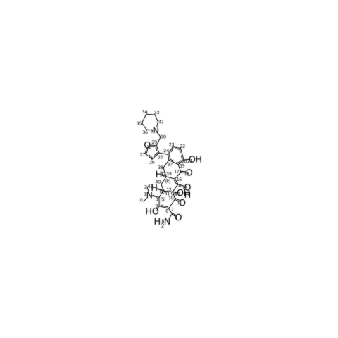 CN(C)[C@@H]1C(O)=C(C(N)=O)C(=O)[C@@]2(O)C(O)=C3C(=O)c4c(O)ccc(-c5ccoc5CN5CCCCC5)c4C[C@H]3C[C@@H]12